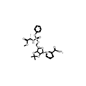 COC(=O)[C@H](C)NP(=O)(OC[C@H]1O[C@@H]([n+]2cccc(C(N)=O)c2)C2OC(C)(C)OC21)Oc1ccccc1